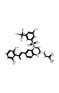 C/C(=C\c1ccc2c(c1)N(S(=O)(=O)c1cc(F)cc(C(F)(F)F)c1)C[C@H](CCC(=O)O)O2)c1c(F)cccc1Cl